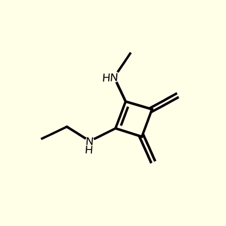 C=C1C(=C)C(NCC)=C1NC